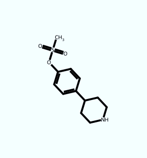 CS(=O)(=O)Oc1ccc(C2CCNCC2)cc1